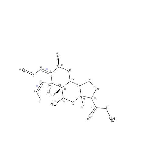 C/C=C\[C@@]1(C)/C(=C\C=O)[C@@H](F)CC2C3CCC(C(=O)CO)C3(C)CC(O)[C@@]21F